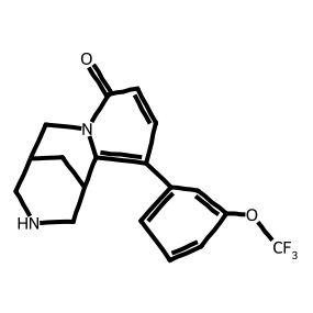 O=c1ccc(-c2cccc(OC(F)(F)F)c2)c2n1CC1CNCC2C1